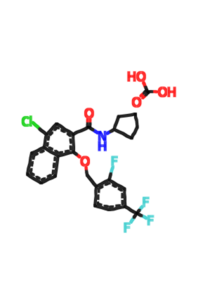 O=C(NC1CCCC1)c1cc(Cl)c2ccccc2c1OCc1ccc(C(F)(F)F)cc1F.O=C(O)O